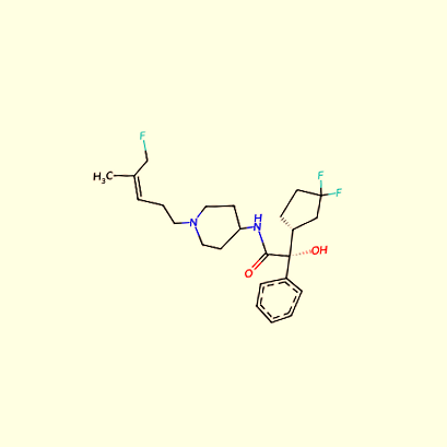 C/C(=C/CCN1CCC(NC(=O)[C@](O)(c2ccccc2)[C@@H]2CCC(F)(F)C2)CC1)CF